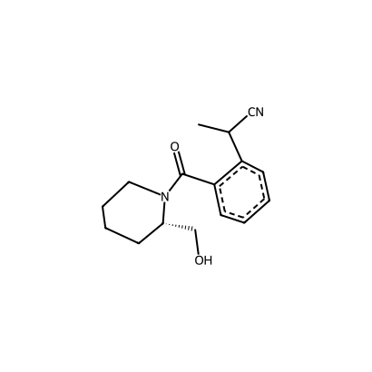 CC(C#N)c1ccccc1C(=O)N1CCCC[C@H]1CO